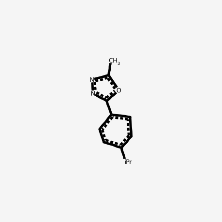 Cc1nnc(-c2ccc(C(C)C)cc2)o1